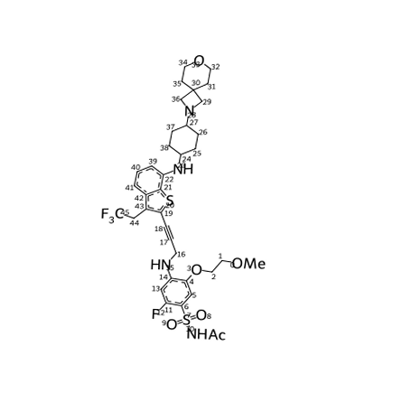 COCCOc1cc(S(=O)(=O)NC(C)=O)c(F)cc1NCC#Cc1sc2c(NC3CCC(N4CC5(CCOCC5)C4)CC3)cccc2c1CC(F)(F)F